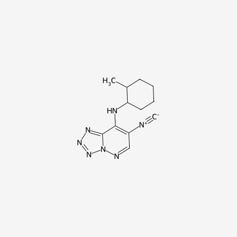 [C-]#[N+]c1cnn2nnnc2c1NC1CCCCC1C